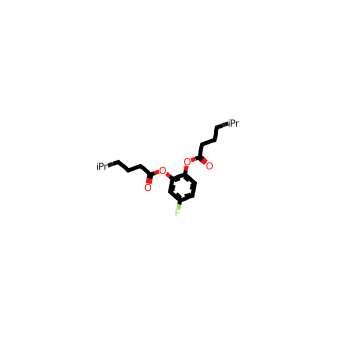 CC(C)CCCC(=O)Oc1ccc(F)cc1OC(=O)CCCC(C)C